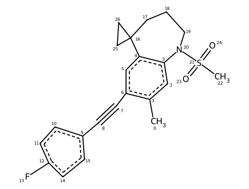 Cc1cc2c(cc1C#Cc1ccc(F)cc1)C1(CCCN2S(C)(=O)=O)CC1